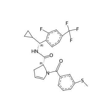 CSc1cccc(C(=O)N2C=CC[C@@H]2C(=O)N[C@@H](c2ccc(C(F)(F)F)cc2F)C2CC2)c1